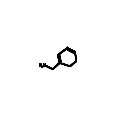 NCC1=C[C]=CCC1